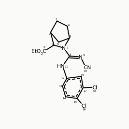 CCOC(=O)C1C2CCC(C2)N1C(=NC#N)Nc1ccc(Cl)c(Cl)c1